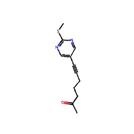 CSc1ncc(C#CCCCC(C)=O)cn1